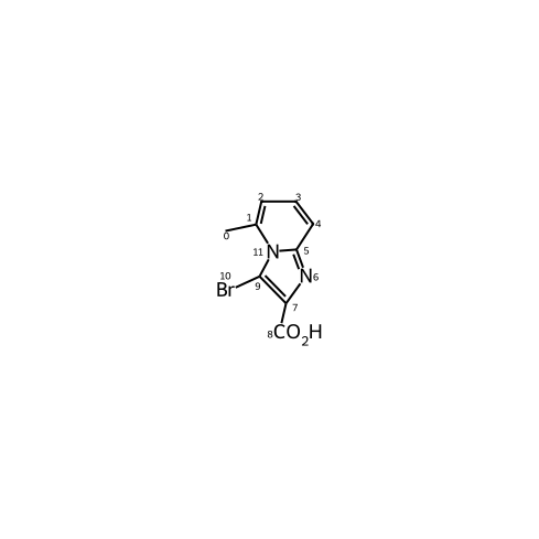 Cc1cccc2nc(C(=O)O)c(Br)n12